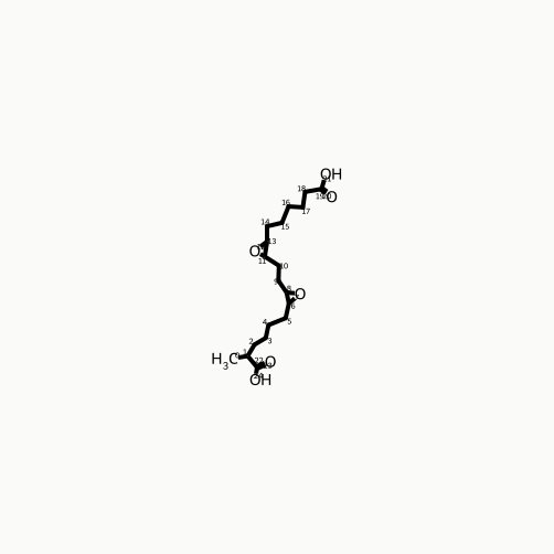 CC(CCCCC1OC1CCC1OC1CCCCCC(=O)O)C(=O)O